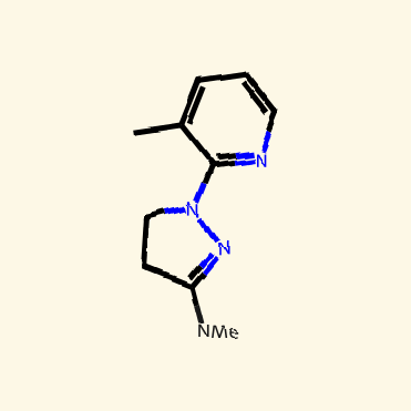 CNC1=NN(c2ncccc2C)CC1